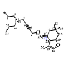 CCCN(CC#CCO/N=C1\CC(C)(C)Cc2occ(C)c21)CCC